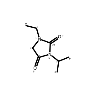 CCN1CC(=O)N(C(C)C)C1=O